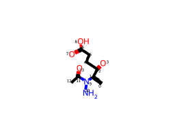 C=C(C(=O)CCC(=O)O)N(N)C(C)=O